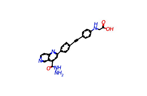 NNC(=O)c1cc(-c2ccc(C#Cc3ccc(NCC(=O)O)cc3)cc2)nc2ccncc12